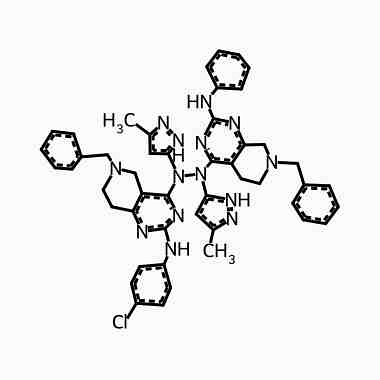 Cc1cc(N(c2nc(Nc3ccccc3)nc3c2CCN(Cc2ccccc2)C3)N(c2cc(C)n[nH]2)c2nc(Nc3ccc(Cl)cc3)nc3c2CN(Cc2ccccc2)CC3)[nH]n1